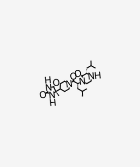 CC(C)C[C@@H]1NCCN([C@@H](CC(C)C)C(=O)N2CCC([C@]3(C)NC(=O)NC3=O)CC2)C1=O